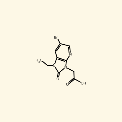 CCn1c(=O)n(CC(=O)O)c2ncc(Br)cc21